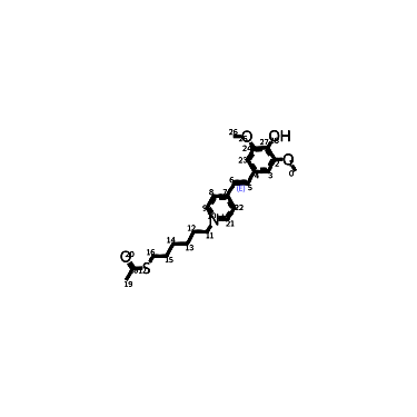 COc1cc(/C=C/c2cc[n+](CCCCCCSC(C)=O)cc2)cc(OC)c1O